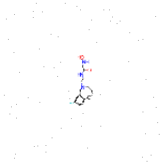 O=C(CNO)NCCN1CCCCc2ccc(F)cc2C1